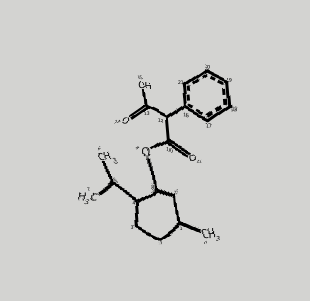 CC1CCC(C(C)C)C(OC(=O)C(C(=O)O)c2ccccc2)C1